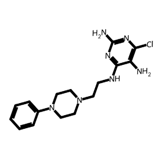 Nc1nc(Cl)c(N)c(NCCN2CCN(c3ccccc3)CC2)n1